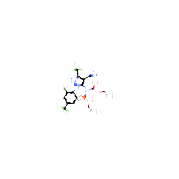 CCOC(=O)N(C(=O)OCC)c1c(C#N)c(C(F)(F)F)nn1-c1c(Cl)cc(C(F)(F)F)cc1Cl